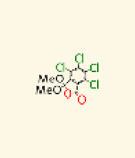 COC1(OC)OC(=O)c2c(Cl)c(Cl)c(Cl)c(Cl)c21